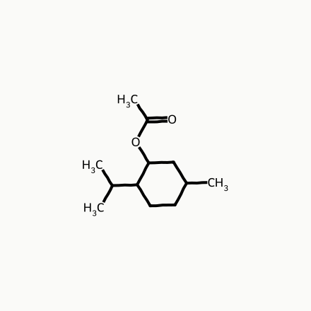 CC(=O)OC1CC(C)CCC1C(C)C